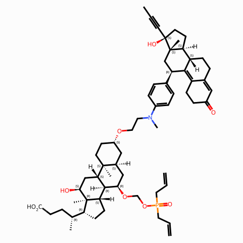 C=CCP(=O)(CC=C)OCO[C@@H]1C[C@@H]2C[C@@H](OCCN(C)c3ccc([C@H]4C[C@@]5(C)[C@@H](CC[C@@]5(O)C#CC)[C@@H]5CCC6=CC(=O)CCC6=C54)cc3)CC[C@]2(C)[C@H]2C[C@H](O)[C@]3(C)[C@@H]([C@H](C)CCC(=O)O)CC[C@H]3[C@H]12